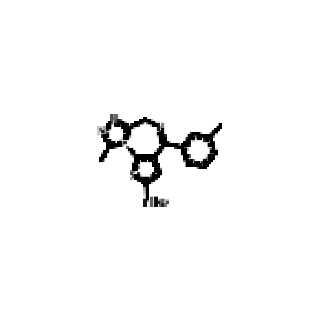 CCCCCCc1cc2c(s1)-n1c(C)nnc1CN=C2c1cccc(C)c1